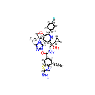 COc1cc(C(=O)NCC(O)(c2cc3c(c(-c4ccc(F)cc4)n2)OC[C@@]3(n2cnnc2)C(F)(F)F)C2CC2)cc2sc(N)nc12